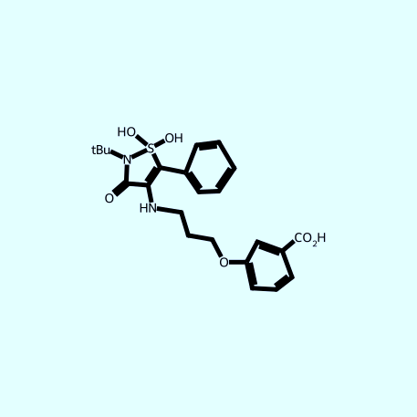 CC(C)(C)N1C(=O)C(NCCCOc2cccc(C(=O)O)c2)=C(c2ccccc2)S1(O)O